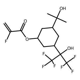 C=C(F)C(=O)OC1CC(C(C)(C)O)CC(C(O)(C(F)(F)F)C(F)(F)F)C1